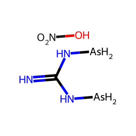 N=C(N[AsH2])N[AsH2].O=[N+]([O-])O